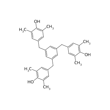 Cc1cc(Cc2cc(Cc3cc(C)c(O)c(C)c3)cc(Cc3cc(C)c(O)c(C)c3)c2)cc(C)c1O